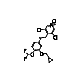 [O-][n+]1cc(Cl)c(C[CH]c2ccc(OC(F)F)c(OCC3CC3)c2)c(Cl)c1